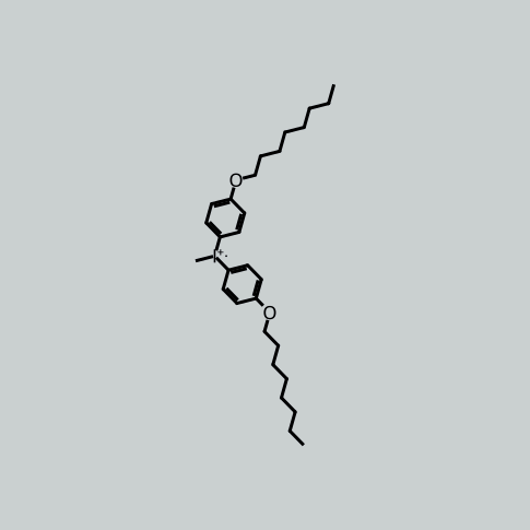 CCCCCCCCOc1ccc([I+](C)c2ccc(OCCCCCCCC)cc2)cc1